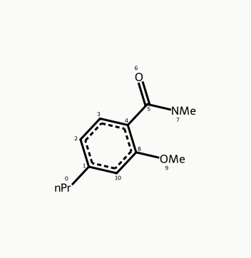 CCCc1ccc(C(=O)NC)c(OC)c1